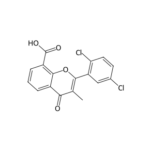 Cc1c(-c2cc(Cl)ccc2Cl)oc2c(C(=O)O)cccc2c1=O